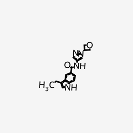 CCc1c[nH]c2ccc(C(=O)Nc3cnn(C4COC4)c3)cc12